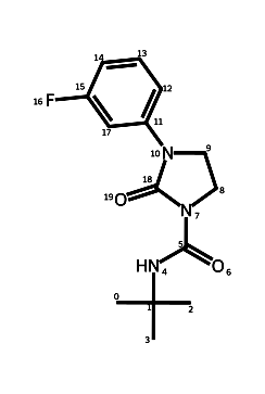 CC(C)(C)NC(=O)N1CCN(c2cccc(F)c2)C1=O